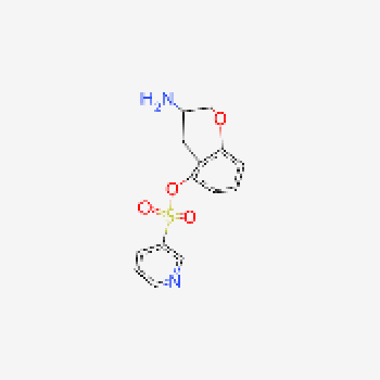 NC1COc2cccc(OS(=O)(=O)c3cccnc3)c2C1